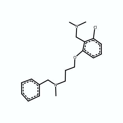 CN(C)Cc1c(Cl)cccc1OCCCN(C)Cc1ccccc1